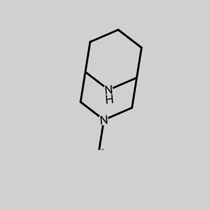 [CH2]N1CC2CCCC(C1)N2